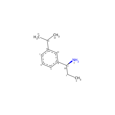 CC[C@H](N)c1cccc(C(C)C)c1